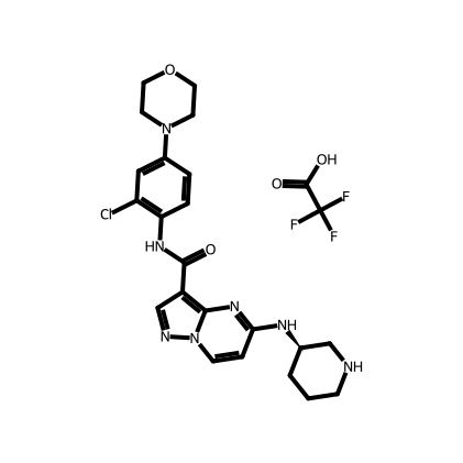 O=C(Nc1ccc(N2CCOCC2)cc1Cl)c1cnn2ccc(N[C@@H]3CCCNC3)nc12.O=C(O)C(F)(F)F